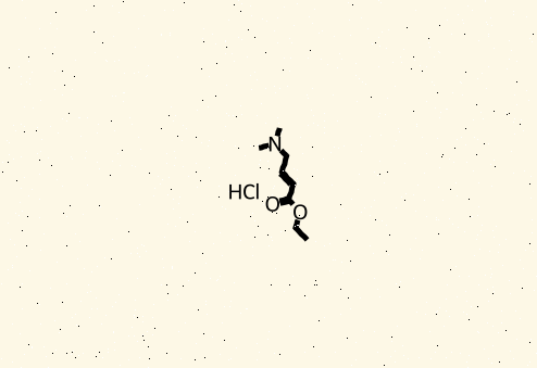 CCOC(=O)C=CCN(C)C.Cl